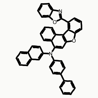 c1ccc(-c2ccc(N(c3ccc4ccccc4c3)c3cc4oc5cccc(-c6nc7ccccc7o6)c5c4c4ccccc34)cc2)cc1